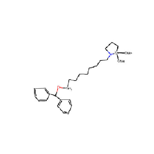 CO[Si]1(OC)CCCN1CCCCCCCC[SiH2]OC(c1ccccc1)c1ccccc1